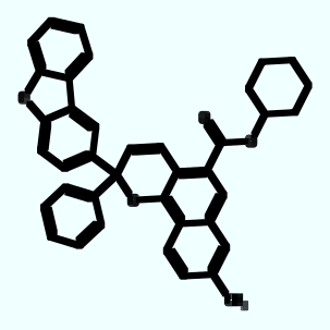 Cc1ccc2c3c(c(C(=O)OC4CCCCC4)cc2c1)C=CC(c1ccccc1)(c1ccc2oc4ccccc4c2c1)O3